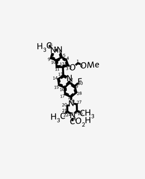 COCOc1cc2nn(C)cc2cc1-c1ccc2cc(N3CC(C)N(C(=O)O)C(C)C3)cc(F)c2n1